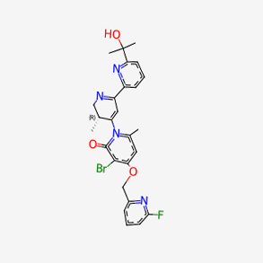 Cc1cc(OCc2cccc(F)n2)c(Br)c(=O)n1C1=CC(c2cccc(C(C)(C)O)n2)=NC[C@H]1C